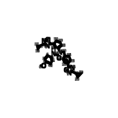 COc1ccc(NC(=O)N(CC23CCC(c4nc(C5CC5)no4)(CC2)CC3)c2cccc(-c3nc(C4CC4)no3)c2)cc1